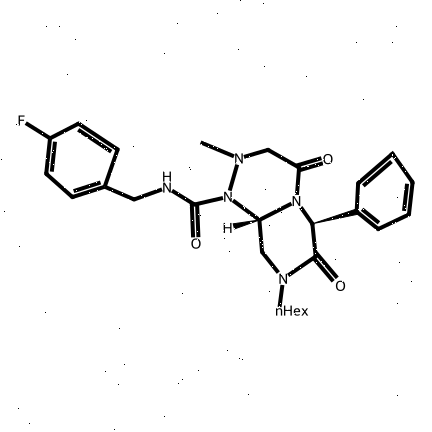 CCCCCCN1C[C@H]2N(C(=O)CN(C)N2C(=O)NCc2ccc(F)cc2)[C@@H](c2ccccc2)C1=O